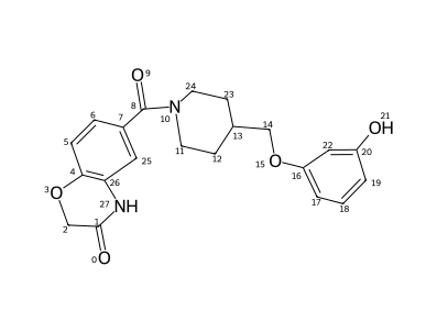 O=C1COc2ccc(C(=O)N3CCC(COc4cccc(O)c4)CC3)cc2N1